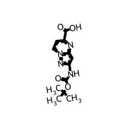 CC(C)(C)OC(=O)Nc1cc2nc(C(=O)O)ccn2n1